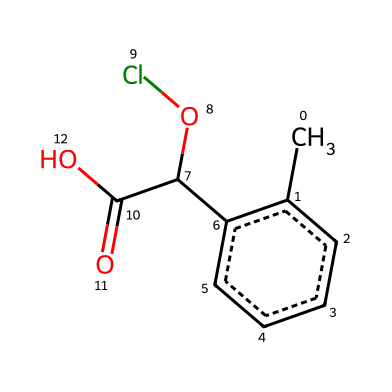 Cc1ccccc1C(OCl)C(=O)O